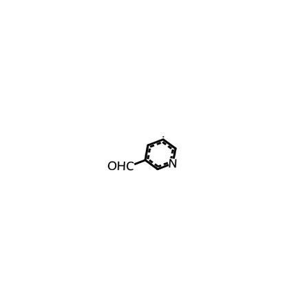 O=Cc1c[c]cnc1